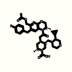 CC(=O)OCc1nc2c(cc1Cc1ccc(F)cc1)N(C(=O)CN1C[C@@H](C)N(C(=O)O)C[C@@H]1CN1CCOCC1C1CC1)[C@@H](C)CO2